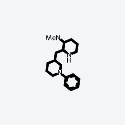 CNC1CCCNC1CC1CCCN(c2ccccc2)C1